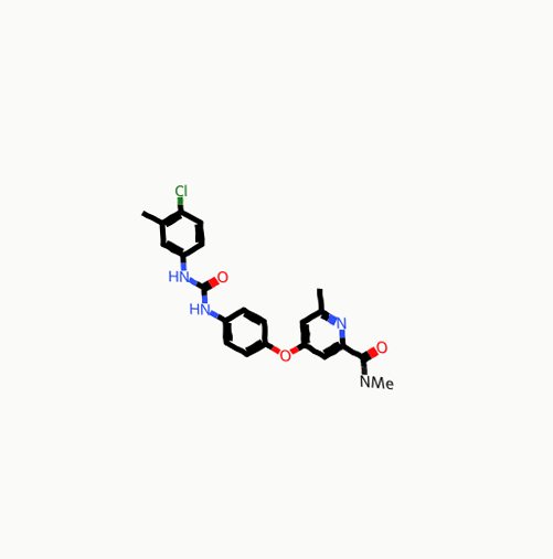 CNC(=O)c1cc(Oc2ccc(NC(=O)Nc3ccc(Cl)c(C)c3)cc2)cc(C)n1